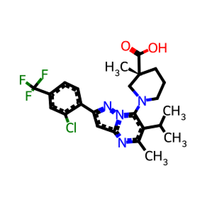 Cc1nc2cc(-c3ccc(C(F)(F)F)cc3Cl)nn2c(N2CCC[C@@](C)(C(=O)O)C2)c1C(C)C